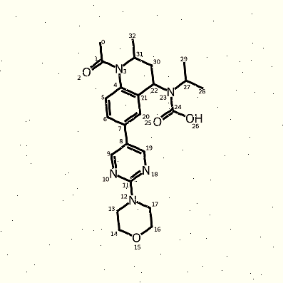 CC(=O)N1c2ccc(-c3cnc(N4CCOCC4)nc3)cc2C(N(C(=O)O)C(C)C)CC1C